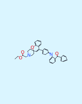 CCOC(=O)CN1CCC2(C=C(C3=CCC(=Nc4ccccc4C(=O)c4ccccc4)C=C3)c3ccccc3O2)CC1